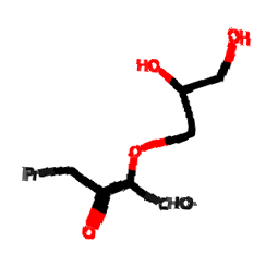 CC(C)CC(=O)C([C]=O)OCC(O)CO